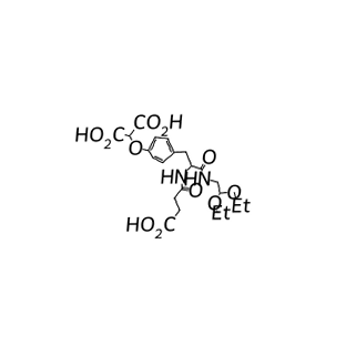 CCOC(CNC(=O)C(Cc1ccc(OC(C(=O)O)C(=O)O)cc1)NC(=O)CCC(=O)O)OCC